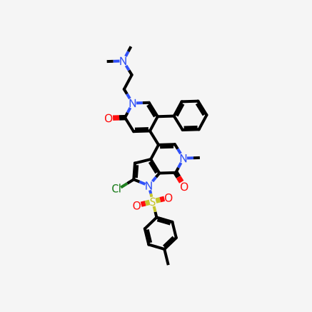 Cc1ccc(S(=O)(=O)n2c(Cl)cc3c(-c4cc(=O)n(CCN(C)C)cc4-c4ccccc4)cn(C)c(=O)c32)cc1